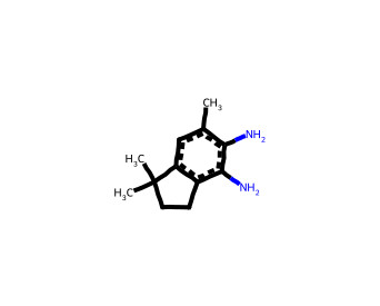 Cc1cc2c(c(N)c1N)CCC2(C)C